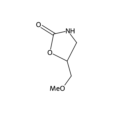 COCC1CNC(=O)O1